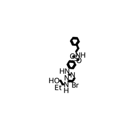 CC[C@H](CO)Nc1nc(Nc2ccc(S(=O)(=O)NCCc3ccccc3)cc2)ncc1Br